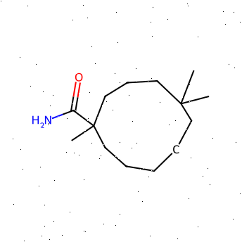 CC1(C)CCCCCC(C)(C(N)=O)CCC1